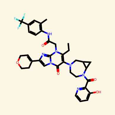 CCc1c(N2CCN(C(=O)c3ncccc3O)C3CC3C2)c(=O)n2cc(C3=CCOCC3)nc2n1CC(=O)Nc1ccc(C(F)(F)F)cc1C